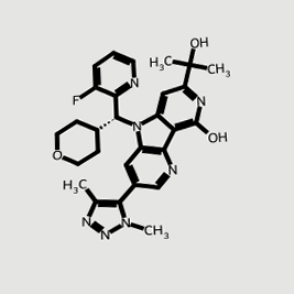 Cc1nnn(C)c1-c1cnc2c3c(O)nc(C(C)(C)O)cc3n([C@@H](c3ncccc3F)C3CCOCC3)c2c1